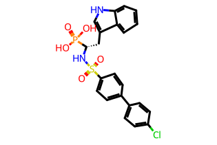 O=P(O)(O)[C@H](Cc1c[nH]c2ccccc12)NS(=O)(=O)c1ccc(-c2ccc(Cl)cc2)cc1